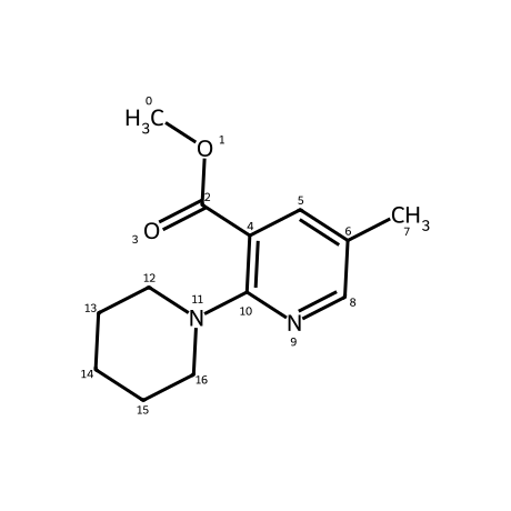 COC(=O)c1cc(C)cnc1N1CCCCC1